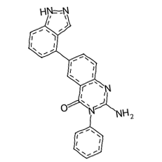 Nc1nc2ccc(-c3cccc4[nH]ncc34)cc2c(=O)n1-c1ccccc1